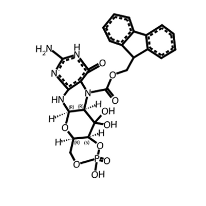 Nc1nc2c(c(=O)[nH]1)N(C(=O)OCC1c3ccccc3-c3ccccc31)[C@@H]1[C@H](N2)O[C@@H]2COP(=O)(O)O[C@@H]2C1(O)O